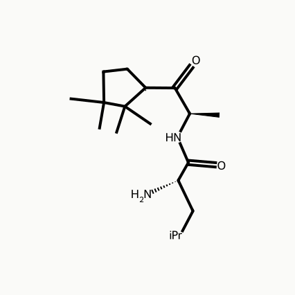 CC(C)C[C@H](N)C(=O)N[C@H](C)C(=O)[C]1CCC(C)(C)C1(C)C